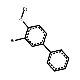 CCOc1ccc(-c2c[c]ccc2)cc1Br